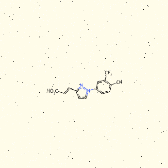 N#Cc1ccc(-n2ccc(/C=C/C(=O)O)n2)cc1C(F)(F)F